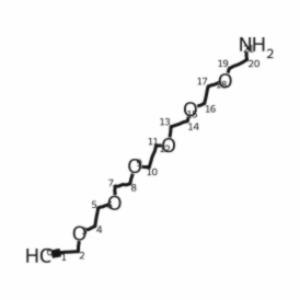 C#CCOCCOCCOCCOCCOCCOCCN